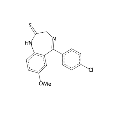 COc1ccc2c(c1)C(c1ccc(Cl)cc1)=NCC(=S)N2